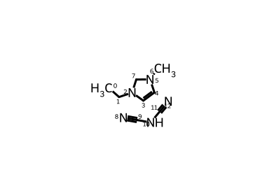 CCN1C=CN(C)C1.N#CNC#N